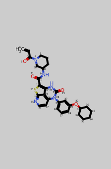 C=CC(=O)N1CCCC(NC(=O)c2sc3nccc4c3c2NC(=O)N4c2cccc(OC3CCCCC3)c2)C1